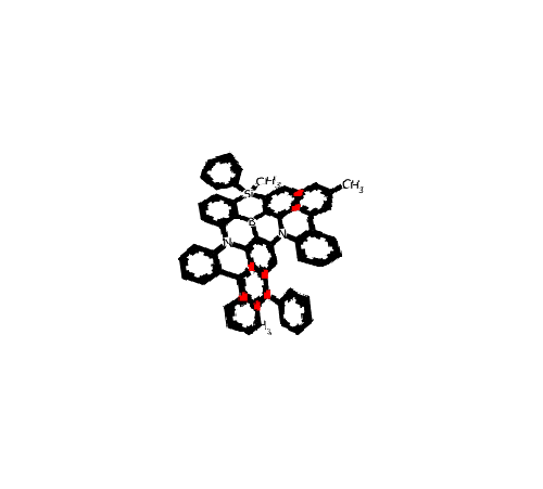 Cc1ccnc(-c2ccccc2N2c3cc(N(c4ccccc4)c4ccccc4)cc4c3B3c5c2cccc5[Si](C)(c2ccccc2)c2cccc(c23)N4c2ccccc2-c2cc(C)ccn2)c1